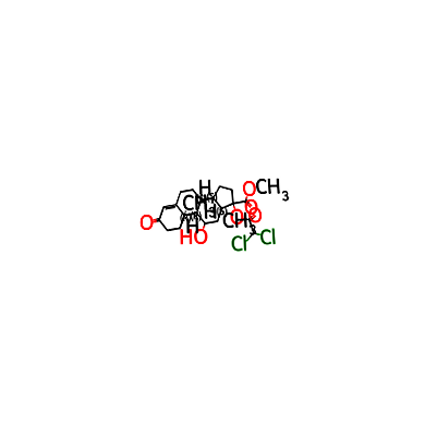 COC(=O)C1(OC(=O)C(Cl)Cl)CC[C@H]2[C@@H]3CCC4=CC(=O)CC[C@]4(C)[C@@H]3C(O)C[C@@]21C